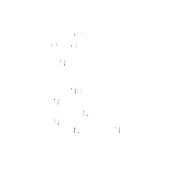 CCn1c(-c2ccc(C)nc2)nc2c(N[C@@H]3CCN(C(=O)OC(C)(C)C)C3)ncnc21